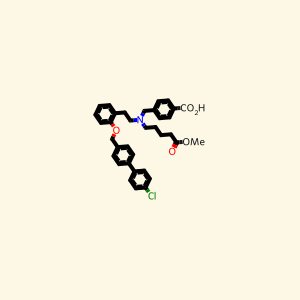 COC(=O)CCCCN(CCc1ccccc1OCc1ccc(-c2ccc(Cl)cc2)cc1)Cc1ccc(C(=O)O)cc1